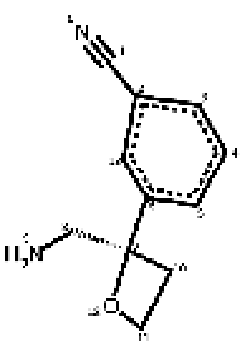 N#Cc1cccc([C@@]2(CN)CCO2)c1